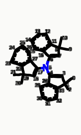 CC1(C)C=C(N(C2=CC(C)(C)c3ccccc32)C2=CC(C)(C)c3ccccc32)c2ccccc21